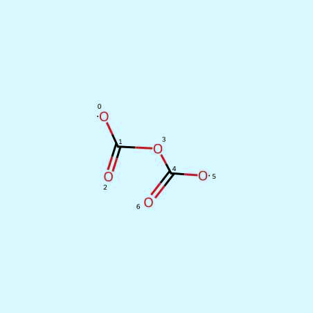 [O]C(=O)OC([O])=O